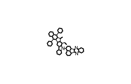 C=Cc1c2c(cc3c4ccccc4n(-c4ccc5c6c(cccc46)-c4nc6ccccc6nc4-5)c13)-c1c(c(-c3ccccc3)c3ccccc3c1-c1ccccc1)C2=C